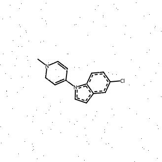 CN1C=CC(n2ccc3cc(Cl)ccc32)=CC1